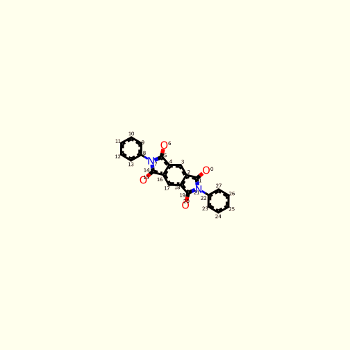 O=c1c2cc3c(=O)n(-c4ccccc4)c(=O)c3cc2c(=O)n1-c1ccccc1